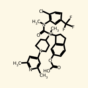 Cc1cc(N2CCC([N+](C)(C(=O)N(C)c3cc(C(F)(F)F)ccc3Cl)C3CCc4ccc(OC(=O)O)cc43)CC2)cc(C)n1